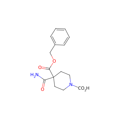 NC(=O)C1(C(=O)OCc2ccccc2)CCN(C(=O)O)CC1